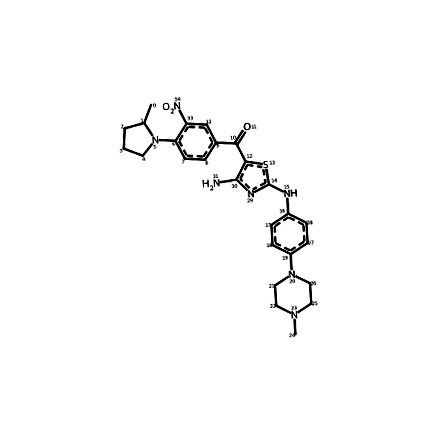 CC1CCCN1c1ccc(C(=O)c2sc(Nc3ccc(N4CCN(C)CC4)cc3)nc2N)cc1[N+](=O)[O-]